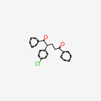 O=C(CCC(C(=O)c1ccccc1)c1ccc(Cl)cc1)c1ccccc1